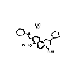 CCCCOc1ccc2c(OCCCC)c(CNC3CCCCC3)ccc2c1CNC1CCCCC1.Cl.Cl